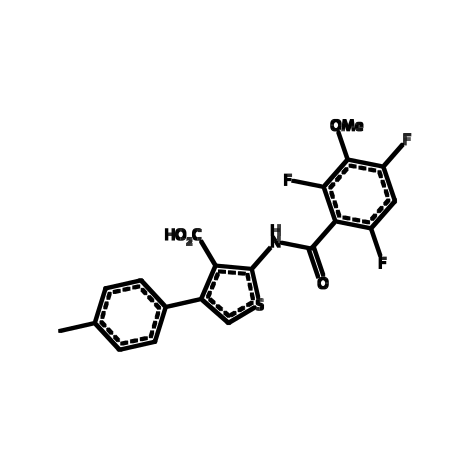 COc1c(F)cc(F)c(C(=O)Nc2scc(-c3ccc(C)cc3)c2C(=O)O)c1F